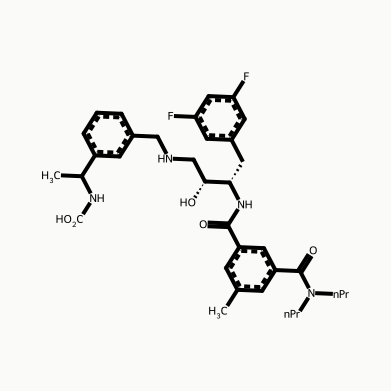 CCCN(CCC)C(=O)c1cc(C)cc(C(=O)N[C@@H](Cc2cc(F)cc(F)c2)[C@H](O)CNCc2cccc(C(C)NC(=O)O)c2)c1